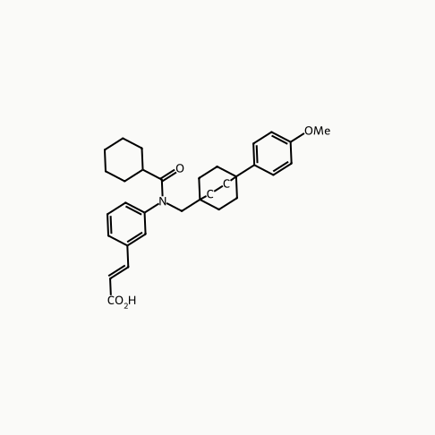 COc1ccc(C23CCC(CN(C(=O)C4CCCCC4)c4cccc(/C=C/C(=O)O)c4)(CC2)CC3)cc1